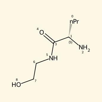 CCC[C@H](N)C(=O)NCCO